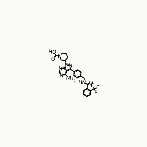 Nc1ncnc2c1c(-c1ccc(CNC(=O)c3ccccc3C(F)(F)F)cc1)nn2[C@@H]1CCCN(C(=O)O)C1